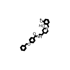 COc1cccc(CN2CCC(CCNC(=O)c3ccc(OCc4ccccc4)cc3)CC2)c1O